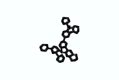 c1ccc(-c2ccc3c(c2)-c2ccccc2[C@@]32c3ccc(-c4ccc5c(c4)c4ccccc4n5-c4ccccc4)cc3-c3cc4ccccc4cc32)cc1